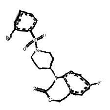 O=C1OCc2cc(Br)ccc2N1C1CCN(S(=O)(=O)c2ccccc2Br)CC1